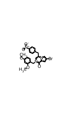 COc1ccc(Cn2cc(Cc3ccc([N+](=O)[O-])cc3)n3cc(Br)cc3c2=O)c(OC)c1